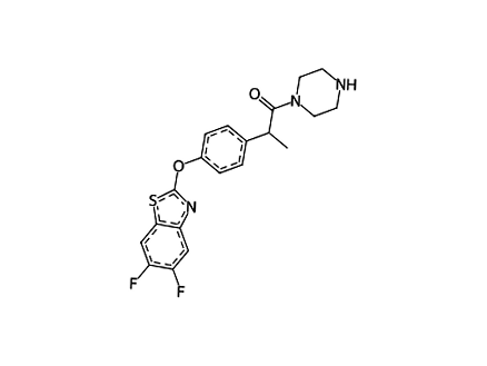 CC(C(=O)N1CCNCC1)c1ccc(Oc2nc3cc(F)c(F)cc3s2)cc1